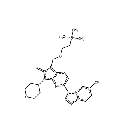 Cc1ccc2ncc(-c3ccc4c(n3)n(C3CCOCC3)c(=O)n4COCC[Si](C)(C)C)n2c1